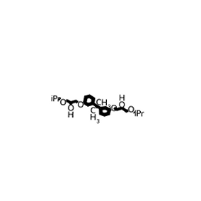 CC(C)OCC(O)COc1cccc(C(C)(C)c2cccc(OCC(O)COC(C)C)c2)c1